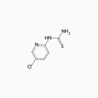 NC(=S)Nc1ccc(Cl)cn1